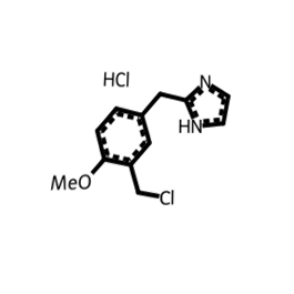 COc1ccc(Cc2ncc[nH]2)cc1CCl.Cl